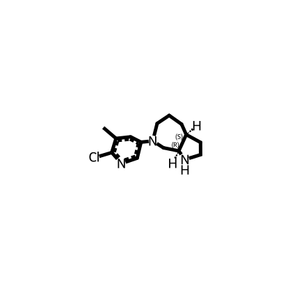 Cc1cc(N2CCC[C@H]3CCN[C@H]3C2)cnc1Cl